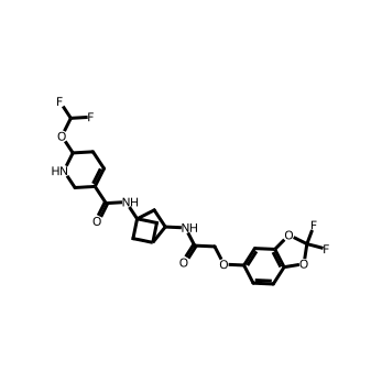 O=C(COc1ccc2c(c1)OC(F)(F)O2)NC1CC2(NC(=O)C3=CCC(OC(F)F)NC3)CC1C2